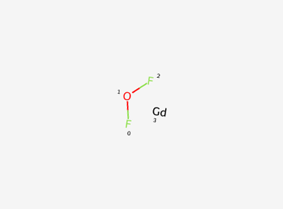 FOF.[Gd]